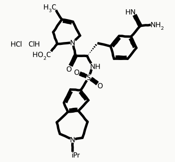 CC1=CCN(C(=O)[C@H](Cc2cccc(C(=N)N)c2)NS(=O)(=O)c2ccc3c(c2)CCN(C(C)C)CC3)C(C(=O)O)C1.Cl.Cl